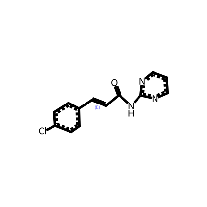 O=C(/C=C/c1ccc(Cl)cc1)Nc1ncccn1